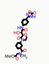 COC(=O)CN(C)C(=O)c1cccc(N2CCO[C@H]([C@@H](O)C(=O)Nc3ccc(-c4noc(=O)[nH]4)cc3)C2=O)c1